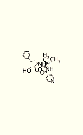 CC[C@H](C)[C@H](NC(=O)c1ccncc1)C(=O)N[C@@H](CCc1ccccc1)C(=O)CO